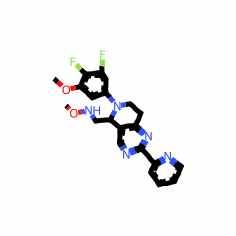 CONCC1c2cnc(-c3ccccn3)nc2CCN1c1cc(F)c(F)c(OC)c1